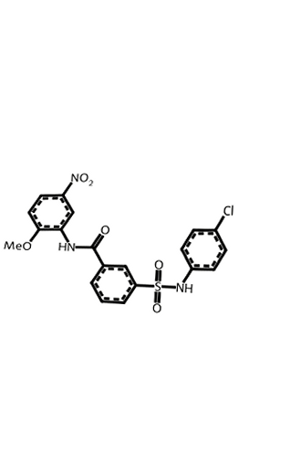 COc1ccc([N+](=O)[O-])cc1NC(=O)c1cccc(S(=O)(=O)Nc2ccc(Cl)cc2)c1